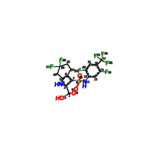 O=C(O)c1[nH]c2c(c1S(=O)(=O)Nc1cc(F)c(C(F)(F)F)cc1F)CCC(F)(F)C2